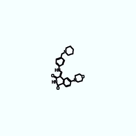 O=C1NC(=O)c2ccc(N3CCOCC3)cc2C1=CNc1ccc(CN2CCCCC2)cc1